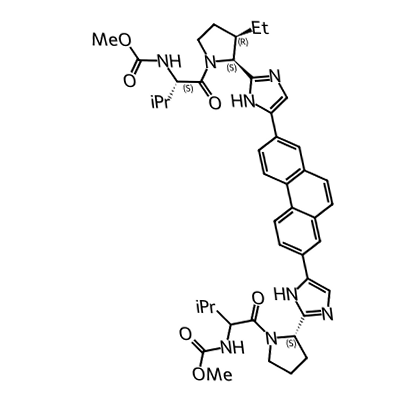 CC[C@@H]1CCN(C(=O)[C@@H](NC(=O)OC)C(C)C)[C@@H]1c1ncc(-c2ccc3c(ccc4cc(-c5cnc([C@@H]6CCCN6C(=O)C(NC(=O)OC)C(C)C)[nH]5)ccc43)c2)[nH]1